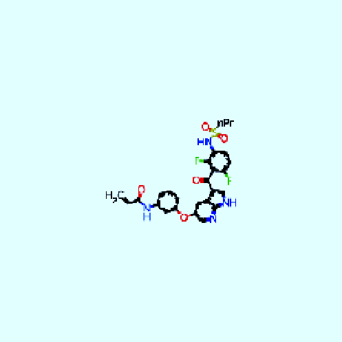 C=CC(=O)Nc1cccc(Oc2cnc3[nH]cc(C(=O)c4c(F)ccc(NS(=O)(=O)CCC)c4F)c3c2)c1